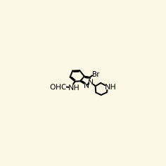 O=CNc1cccc2c(Br)n(C3CCCNC3)nc12